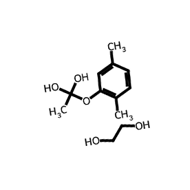 Cc1ccc(C)c(OC(C)(O)O)c1.OCCO